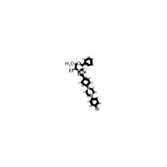 CC[C@@H]([C@H](C)OCc1ccccc1)n1cnc(-c2ccc(N3CCN(c4ccc(Br)cc4)CC3)cc2)n1